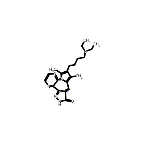 CCN(CC)CCCCc1c(C)[nH]c(/C=C2/C(=O)NN=C2c2cnccn2)c1C